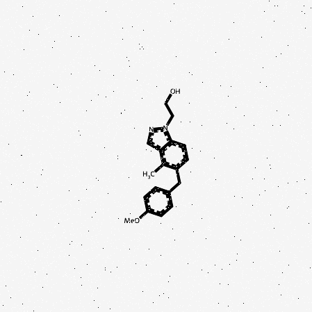 COc1ccc(Cc2ccc3c(cnn3CCO)c2C)cc1